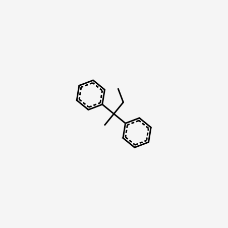 CCC(C)(c1[c]cccc1)c1ccccc1